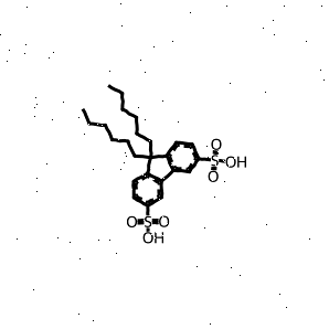 CCCCCCC1(CCCCCC)c2ccc(S(=O)(=O)O)cc2-c2cc(S(=O)(=O)O)ccc21